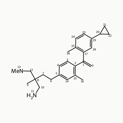 C=C(c1ccc(CCC(C)(CN)CNC)cc1C)c1cc(C2CC2)ccc1C